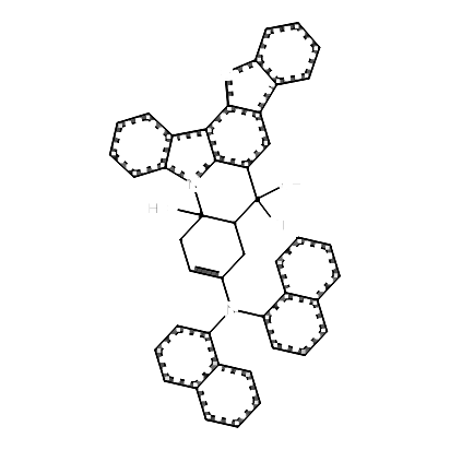 CC1(C)c2cc3c4ccccc4oc3c3c4ccccc4n(c23)C2(C)CC=C(N(c3cccc4ccccc34)c3cccc4ccccc34)CC12